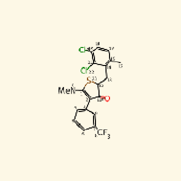 CNC1=C(c2cccc(C(F)(F)F)c2)C(=O)C(Cc2c(C)ccc(Cl)c2Cl)S1